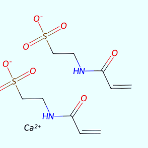 C=CC(=O)NCCS(=O)(=O)[O-].C=CC(=O)NCCS(=O)(=O)[O-].[Ca+2]